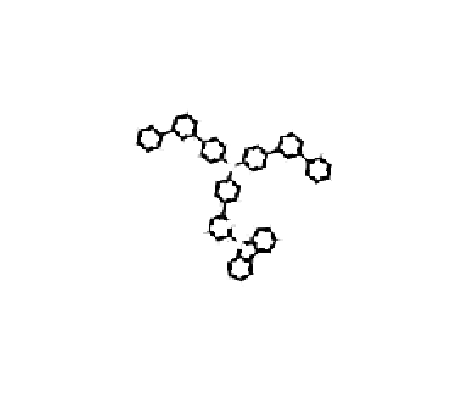 c1ccc(-c2cccc(-c3ccc(N(c4ccc(-c5cccc(-c6ccccc6)c5)cc4)c4ccc(-c5cccc(-n6c7ccccc7c7ccccc76)n5)cc4)cc3)c2)cc1